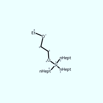 CCCCCCC[Si](CCCCCCC)(CCCCCCC)OCCOCC